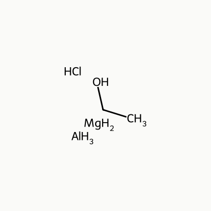 CCO.Cl.[AlH3].[MgH2]